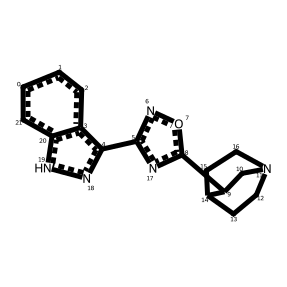 c1ccc2c(-c3noc(C4CN5CCC4CC5)n3)n[nH]c2c1